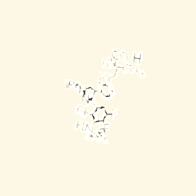 CCS(=O)(=O)Nc1c(F)c(F)cc(-c2nn(C(C)C)cc2-c2ccnc(NC[C@H](C)NC(=O)O)n2)c1Cl